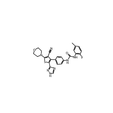 Cc1ccc(F)c(NC(=O)Nc2ccc(-c3c(-c4nc[nH]n4)sc(N4CCOCC4)c3C#N)cc2)c1